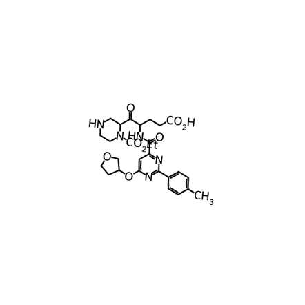 CCOC(=O)N1CCNCC1C(=O)C(CCC(=O)O)NC(=O)c1cc(OC2CCOC2)nc(-c2ccc(C)cc2)n1